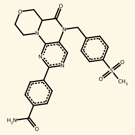 CS(=O)(=O)c1ccc(CN2C(=O)C3COCCN3c3nc(-c4ccc(C(N)=O)cc4)ncc32)cc1